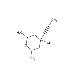 CC#CC1(O)CC(C)OC(C)C1